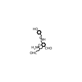 NC(=O)C(CCC=O)Cc1cc(CNOCc2ccc(O)cc2)ccc1C=O